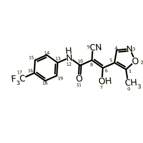 Cc1oncc1/C(O)=C(\C#N)C(=O)Nc1ccc(C(F)(F)F)cc1